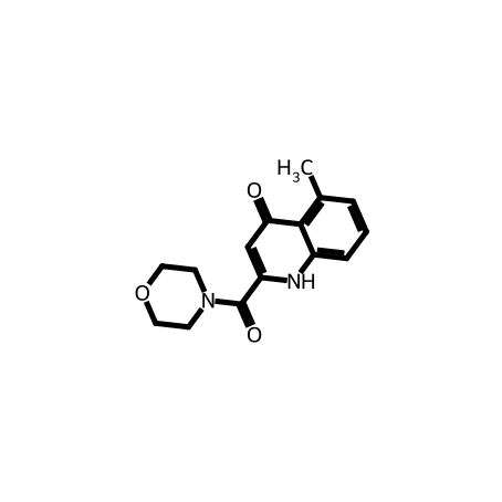 Cc1cccc2[nH]c(C(=O)N3CCOCC3)cc(=O)c12